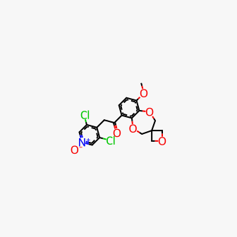 COc1ccc(C(=O)Cc2c(Cl)c[n+]([O-])cc2Cl)c2c1OCC1(COC1)CO2